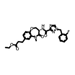 CCOC(=O)CCc1ccc2c(c1)N(C)C(=O)[C@@H](NC(=O)c1ncn(Cc3ccccc3F)n1)CO2